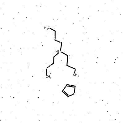 CCC[CH2][SnH]([CH2]CCC)[CH2]CCC.c1ccoc1